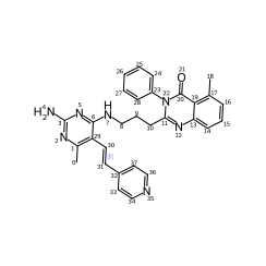 Cc1nc(N)nc(NCCCc2nc3cccc(C)c3c(=O)n2-c2ccccc2)c1/C=C/c1ccncc1